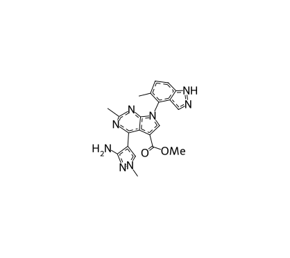 COC(=O)c1cn(-c2c(C)ccc3[nH]ncc23)c2nc(C)nc(-c3cn(C)nc3N)c12